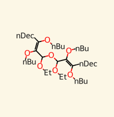 CCCCCCCCCCC(OCCCC)=C(OCCCC)C(OCC)OC(OCC)C(OCCCC)=C(CCCCCCCCCC)OCCCC